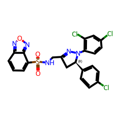 O=S(=O)(NCC1=NN(c2ccc(Cl)cc2Cl)[C@@H](c2ccc(Cl)cc2)C1)c1cccc2nonc12